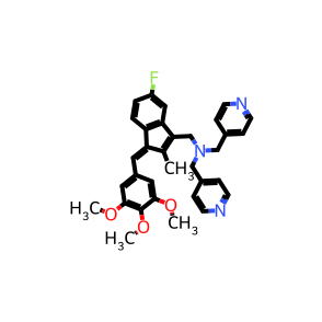 COc1cc(C=C2C(C)=C(CN(Cc3ccncc3)Cc3ccncc3)c3cc(F)ccc32)cc(OC)c1OC